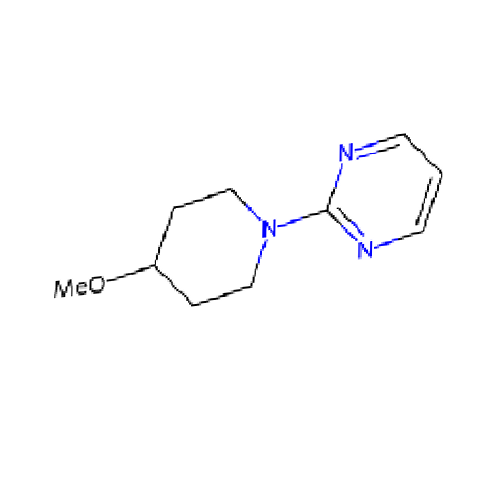 COC1CCN(c2ncccn2)CC1